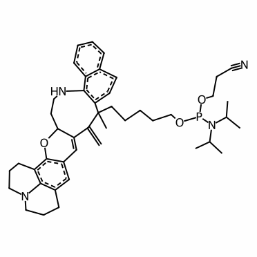 C=C1C2=Cc3cc4c5c(c3OC2CCNc2c(ccc3ccccc23)C1(C)CCCCCOP(OCCC#N)N(C(C)C)C(C)C)CCCN5CCC4